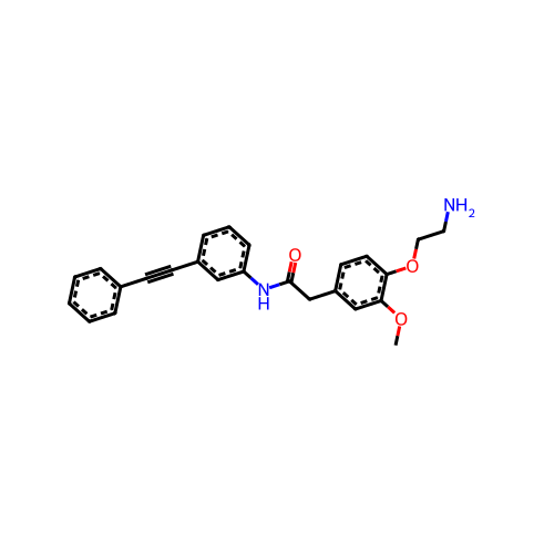 COc1cc(CC(=O)Nc2cccc(C#Cc3ccccc3)c2)ccc1OCCN